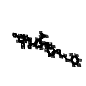 O=C1CN/C(=N\C(=O)c2ccc(Nc3cccc(OCCCC4CCCCC4)c3)c(C3CC3)c2)N1